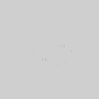 COc1ccc2c(c1OC)NC(=O)C2(O)C(=O)O